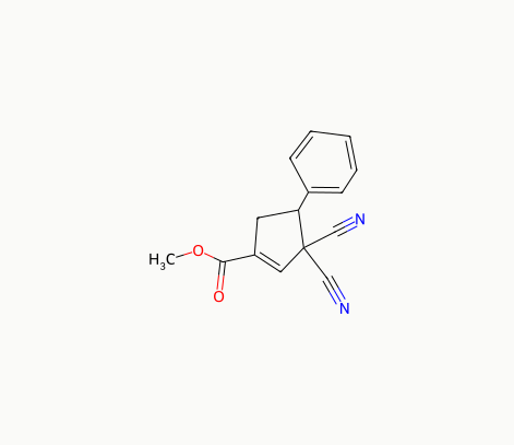 COC(=O)C1=CC(C#N)(C#N)C(c2ccccc2)C1